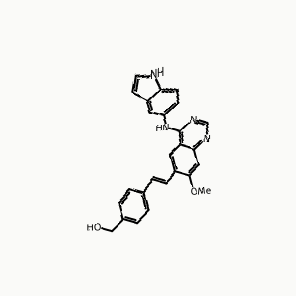 COc1cc2ncnc(Nc3ccc4[nH]ccc4c3)c2cc1C=Cc1ccc(CO)cc1